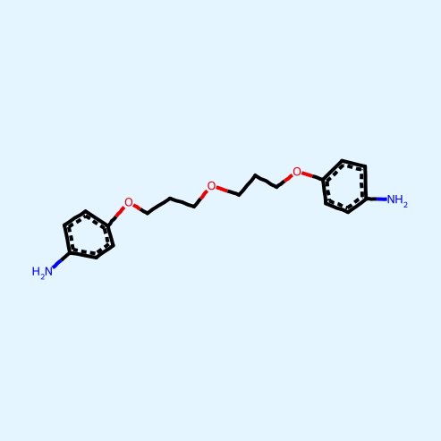 Nc1ccc(OCCCOCCCOc2ccc(N)cc2)cc1